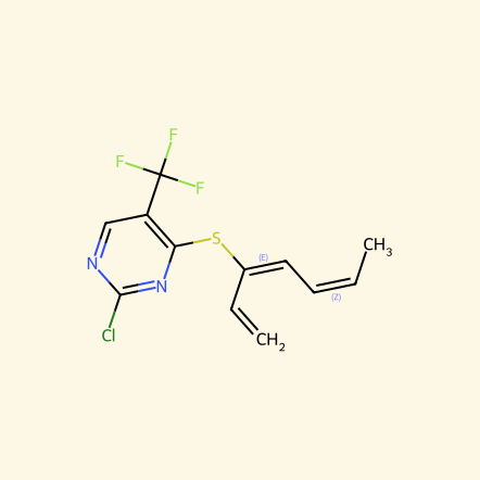 C=C/C(=C\C=C/C)Sc1nc(Cl)ncc1C(F)(F)F